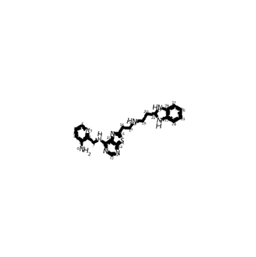 Nc1cccnc1CNc1ncnc2sc(CCNCCC3Nc4ccccc4N3)nc12